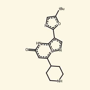 CC(C)(C)c1cnc(-c2cnn3c(C4CCNCC4)cc(=O)[nH]c23)o1